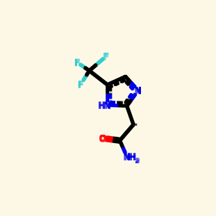 NC(=O)[CH]c1ncc(C(F)(F)F)[nH]1